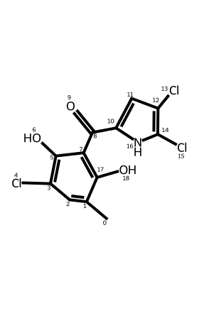 Cc1cc(Cl)c(O)c(C(=O)c2cc(Cl)c(Cl)[nH]2)c1O